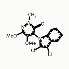 COc1nn(C)c(=O)c(-n2c(Cl)c(Cl)c3ccccc32)c1OC